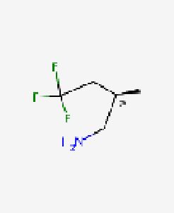 C[C@@H](CN)CC(F)(F)F